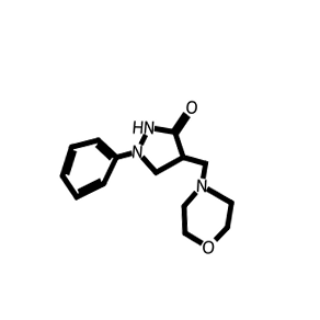 O=C1NN(c2ccccc2)CC1CN1CCOCC1